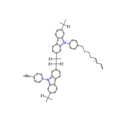 C=C/C=C/CCCCc1ccc(-n2c3cc(C(C)(C)CC)ccc3c3ccc(C(C)(CC)C(CC)(CC)c4ccc5c6ccc(C(C)(C)CC)cc6n(-c6ccc(CCCC)cc6)c5c4)cc32)cc1